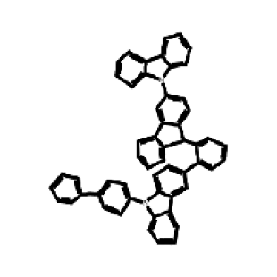 c1ccc(-c2ccc(-n3c4ccccc4c4cc(-c5ccccc5C5c6ccccc6-c6cc(-n7c8ccccc8c8ccccc87)ccc65)ccc43)cc2)cc1